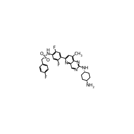 Cc1cc(-c2cc(F)c(NS(=O)(=O)Cc3ccc(F)cc3)cc2F)nc2cnc(N[C@H]3CC[C@H](N)CC3)nc12